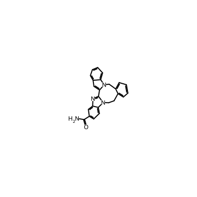 NC(=O)c1ccc2c(c1)nc1n2CCc2ccccc2Cn2c-1cc1ccccc12